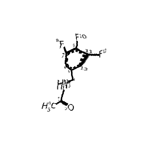 CC(=O)NCc1cc(F)c(F)c(F)c1